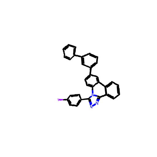 Ic1ccc(-c2nnc3c4ccccc4c4cc(-c5cccc(-c6ccccc6)c5)ccc4n23)cc1